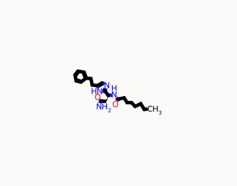 CCCCCCCC(=O)N[C@H](CC(N)=O)c1ncc(CCc2ccccc2)[nH]1